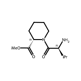 COC(=O)[C@@H]1CCCCN1C(=O)[C@@H](N)C(C)C